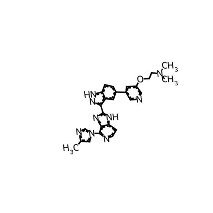 Cc1cn(-c2nccc3[nH]c(-c4n[nH]c5ccc(-c6cncc(OCCN(C)C)c6)cc45)nc23)cn1